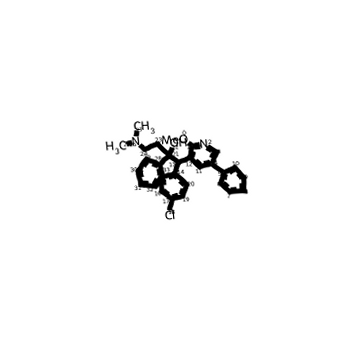 COc1ncc(-c2ccccc2)cc1C(c1ccc(Cl)cc1)C(O)(CCN(C)C)c1ccccc1